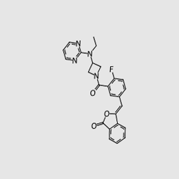 CCN(c1ncccn1)C1CN(C(=O)c2cc(C=C3OC(=O)c4ccccc43)ccc2F)C1